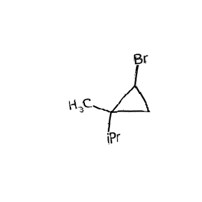 CC(C)C1(C)CC1Br